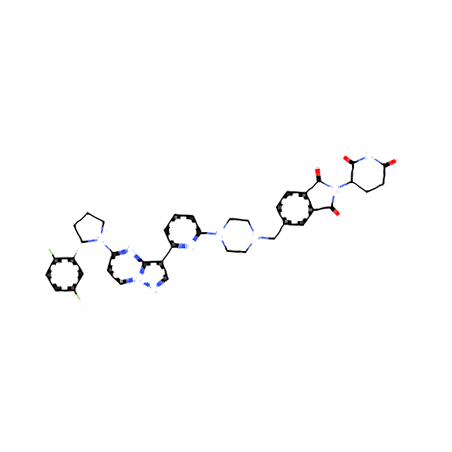 O=C1CCC(N2C(=O)c3ccc(CN4CCN(c5cccc(-c6cnn7ccc(N8CCC[C@@H]8c8cc(F)ccc8F)nc67)n5)CC4)cc3C2=O)C(=O)N1